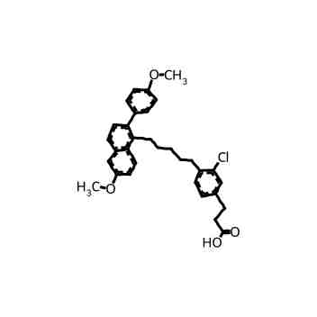 COc1ccc(-c2ccc3cc(OC)ccc3c2CCCCCc2ccc(CCC(=O)O)cc2Cl)cc1